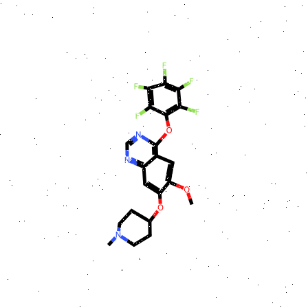 COc1cc2c(Oc3c(F)c(F)c(F)c(F)c3F)ncnc2cc1OC1CCN(C)CC1